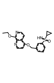 CCOc1nccc2c(OCc3cccc(S(=N)(=O)C4CC4)c3)ccnc12